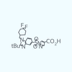 CC(C)(C)c1nc2cc(S(=O)(=O)n3cc(C(=O)O)cn3)ccc2n1CC1CCC(F)(F)CC1